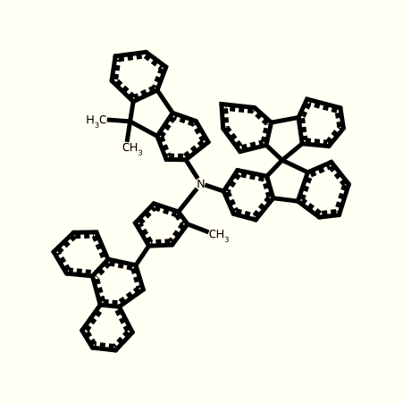 Cc1cc(-c2cc3ccccc3c3ccccc23)ccc1N(c1ccc2c(c1)C(C)(C)c1ccccc1-2)c1ccc2c(c1)C1(c3ccccc3-c3ccccc31)c1ccccc1-2